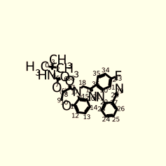 CC(C)(C)NC(=O)O[C@H]1COc2ccccc2N(Cc2nn(-c3ccccc3C#N)c3cc(F)ccc23)C1=O